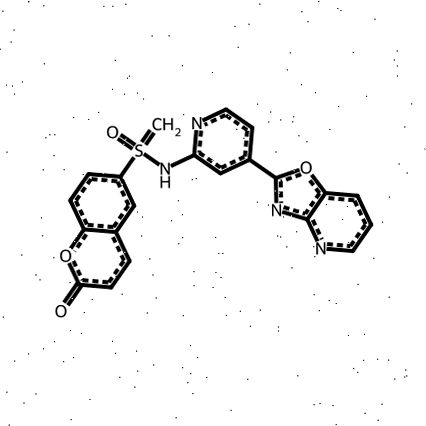 C=S(=O)(Nc1cc(-c2nc3ncccc3o2)ccn1)c1ccc2oc(=O)ccc2c1